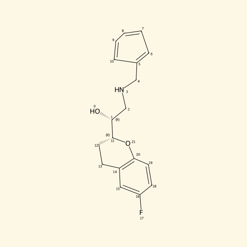 O[C@H](CNCc1ccccc1)[C@H]1CCc2cc(F)ccc2O1